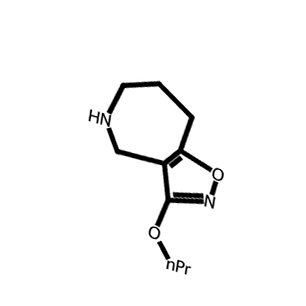 CCCOc1noc2c1CNCCC2